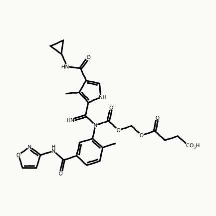 Cc1ccc(C(=O)Nc2ccon2)cc1N(C(=N)c1[nH]cc(C(=O)NC2CC2)c1C)C(=O)OCOC(=O)CCC(=O)O